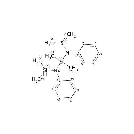 C=[Si](C)N(c1ccccc1)[Si](C)(C)N(c1ccccc1)[SiH](C)C